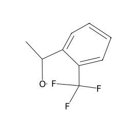 CC([O])c1ccccc1C(F)(F)F